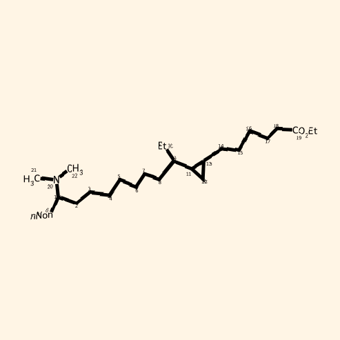 CCCCCCCCCC(CCCCCCCC(CC)C1CC1CCCCCC(=O)OCC)N(C)C